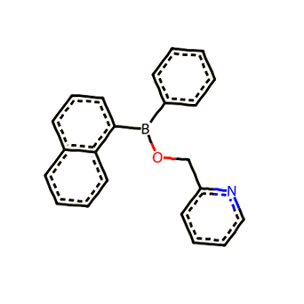 c1ccc(B(OCc2ccccn2)c2cccc3ccccc23)cc1